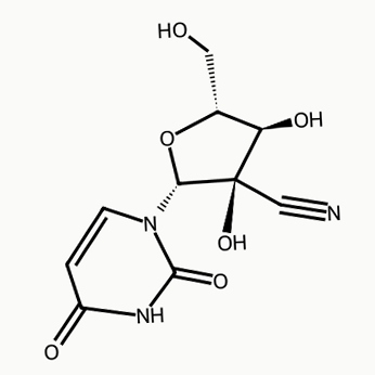 N#C[C@@]1(O)[C@H](O)[C@@H](CO)O[C@H]1n1ccc(=O)[nH]c1=O